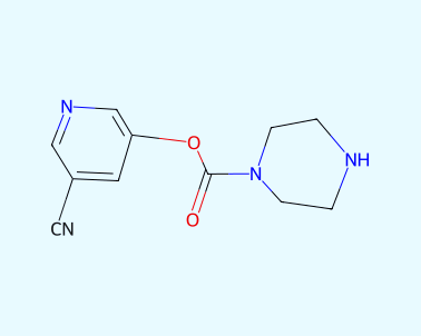 N#Cc1cncc(OC(=O)N2CCNCC2)c1